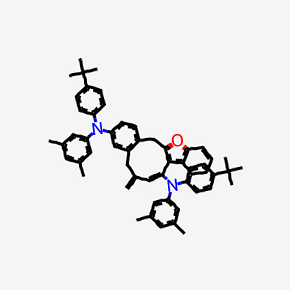 C=C1/C=C(/N(c2ccc(C(C)(C)C)cc2)c2cc(C)cc(C)c2)c2c(oc3c2CCC=C3)Cc2ccc(N(c3ccc(C(C)(C)C)cc3)c3cc(C)cc(C)c3)cc2C1